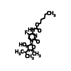 CCCCCOC(=O)Nc1nc(=O)n([C@@H]2O[C@H](C)[C@@H](C(C)C)[C@H]2O)cc1F